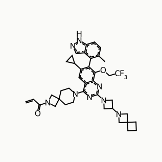 C=CC(=O)N1CC2(CCN(c3nc(N4CC(N5CC6(CCC6)C5)C4)nc4c(OCC(F)(F)F)c(-c5c(C)ccc6[nH]ncc56)c(C5CC5)cc34)CC2)C1